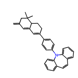 C=C1C=C2C=C(c3ccc(N4c5ccccc5C=Cc5ccccc54)cc3)CCC2C(C)(C)C1